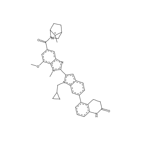 COc1cc(C(=O)N2CC3CCC2[C@@H]3C)cc2nc(-c3cc4ccc(-c5cccc6c5CCC(=O)N6)cc4n3CC3CC3)n(C)c12